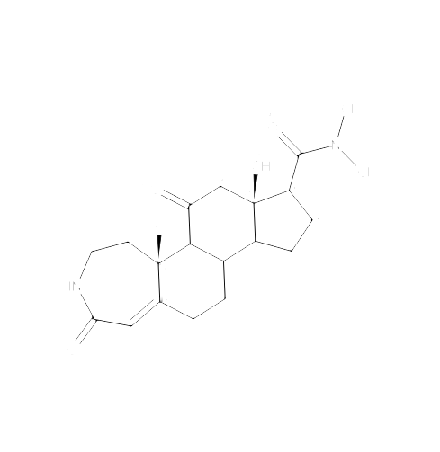 CN(C)C(=O)C1CCC2C3CCC4=CC(=O)NCC[C@]4(C)C3C(=O)C[C@]12C